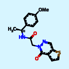 COc1ccc([C@H](C)NC(=O)Cn2ncc3sccc3c2=O)cc1